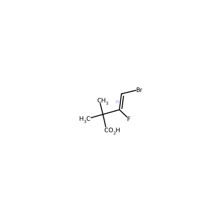 CC(C)(C(=O)O)/C(F)=C/Br